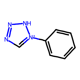 c1ccc(-[n+]2cnn[nH]2)cc1